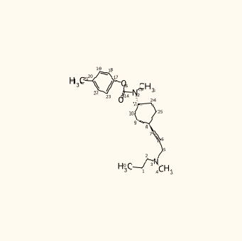 CCCN(C)CC#C[C@H]1CC[C@H](N(C)C(=O)Oc2ccc(C)cc2)CC1